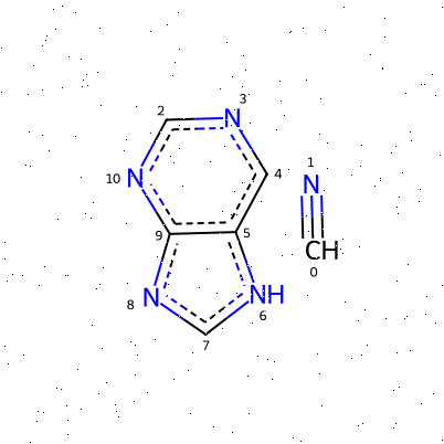 C#N.c1ncc2[nH]cnc2n1